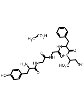 CC(=O)O.CC(C)CC(NC(=O)C(Cc1ccccc1)NC(=O)CNC(=O)CNC(=O)C(N)Cc1ccc(O)cc1)C(=O)O